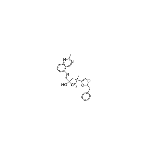 Cc1ncc2c(N=CC(O)(CC(C)(C)C3=COC(Cc4ccccc4)O3)C(F)(F)F)cccc2n1